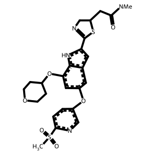 CNC(=O)CC1CN=C(c2cc3cc(Oc4ccc(S(C)(=O)=O)nc4)cc(OC4CCOCC4)c3[nH]2)S1